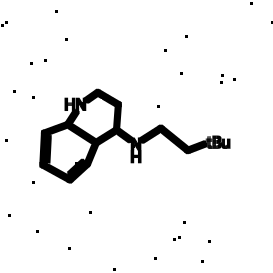 CC(C)(C)CCNC1CCNC2C=CC=CC21